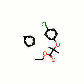 CCOC(=O)C(C)(C)Oc1ccc(Cl)cc1.c1ccccc1